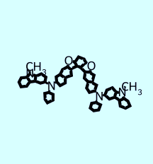 Cn1c2ccccc2c2cc(N(c3ccccc3)c3ccc4cc5c(cc4c3)oc3ccc4oc6cc7cc(N(c8ccccc8)c8ccc9c(c8)c8ccccc8n9C)ccc7cc6c4c35)ccc21